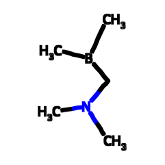 CB(C)CN(C)C